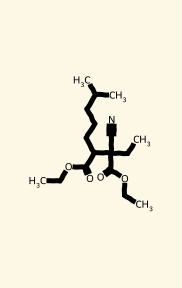 CCOC(=O)C(CCCC(C)C)C(C#N)(CC)C(=O)OCC